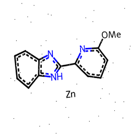 COc1cccc(-c2nc3ccccc3[nH]2)n1.[Zn]